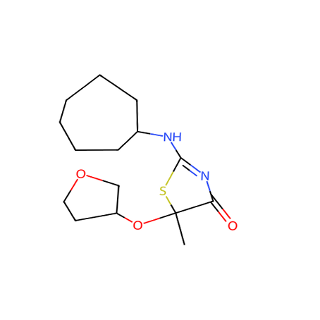 CC1(OC2CCOC2)SC(NC2CCCCCC2)=NC1=O